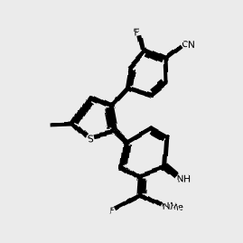 CN/C(F)=C1/C=C(c2sc(C)cc2-c2ccc(C#N)c(F)c2)C=CC1=N